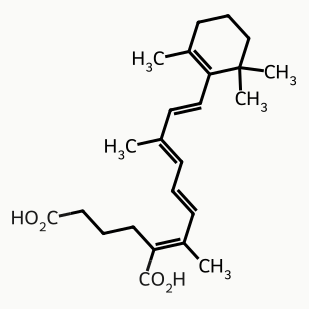 CC(C=CC1=C(C)CCCC1(C)C)=CC=CC(C)=C(CCCC(=O)O)C(=O)O